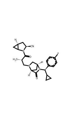 C[C@@H](CN1C[C@@H]2C[C@H]1C(=O)N2[C@@H](c1ccc(F)cc1)C1CC1)C(=O)N1C2C[C@H]2C[C@H]1C#N